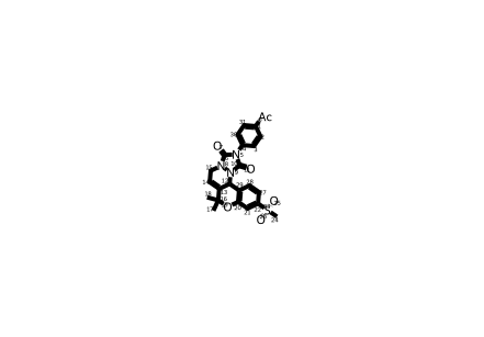 CC(=O)c1ccc(-n2c(=O)n3n(c2=O)C2C(=CC3)C(C)(C)Oc3cc(S(C)(=O)=O)ccc32)cc1